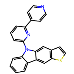 c1cc(-c2ccncc2)nc(-n2c3ccccc3c3cc4sccc4cc32)c1